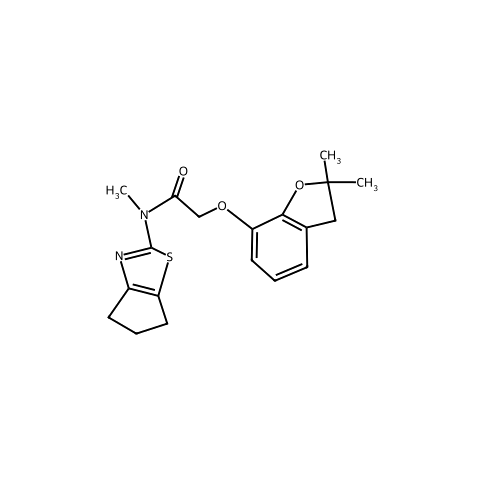 CN(C(=O)COc1cccc2c1OC(C)(C)C2)c1nc2c(s1)CCC2